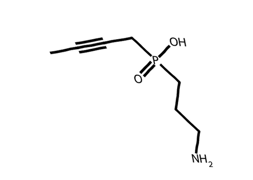 CC#CCP(=O)(O)CCCN